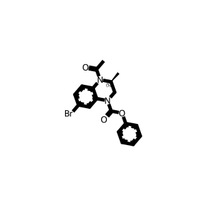 CC(=O)N1c2ccc(Br)cc2N(C(=O)Oc2ccccc2)C[C@@H]1C